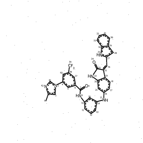 Cc1cn(-c2cc(C(=O)Nc3cccc(Nc4ccc5c(c4)NC(=O)/C5=C\c4cc5ccccc5[nH]4)c3)cc(C(F)(F)F)c2)cn1